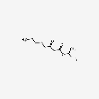 CCCCCC(=O)CC(=O)OC(C)C